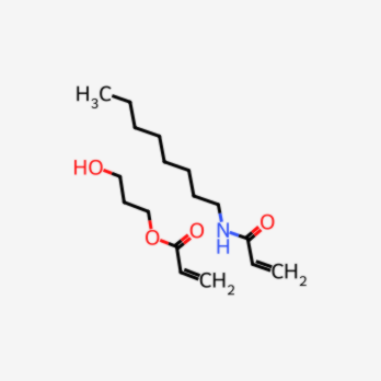 C=CC(=O)NCCCCCCCC.C=CC(=O)OCCCO